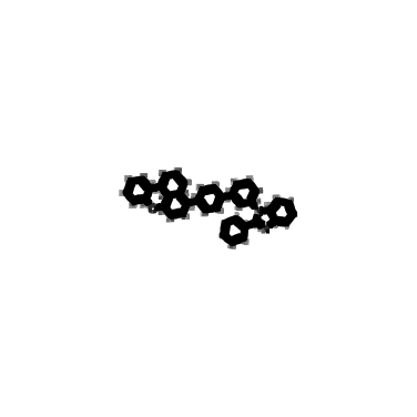 c1ccc(-c2nc3ccccc3n2-c2cccc(-c3ccc(-c4ccc5c6c(cccc46)-c4ccccc4O5)cc3)c2)cc1